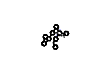 N/C(=N\C(=C/Cc1ccccc1)c1ccccc1-c1ccc(-c2ccc3c4c(cccc24)-c2ccccc2-3)cc1)c1ccc(Cc2ccccc2)cc1